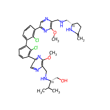 C=C1CC[C@@H](CNCc2ncc(-c3cccc(-c4cccc(-c5cnc(CN[C@H](CO)C(C)C)c(OC)n5)c4Cl)c3Cl)nc2OC)N1